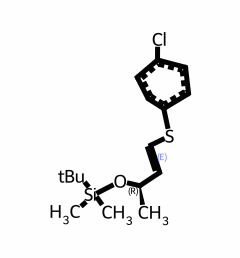 C[C@H](/C=C/Sc1ccc(Cl)cc1)O[Si](C)(C)C(C)(C)C